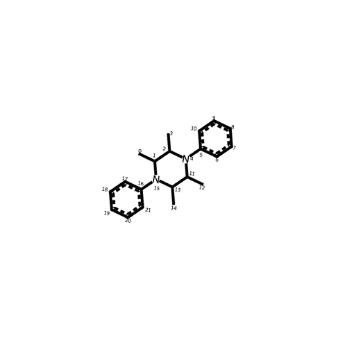 CC1C(C)N(c2ccccc2)C(C)C(C)N1c1ccccc1